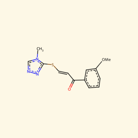 COc1cccc(C(=O)/C=C/Sc2nncn2C)c1